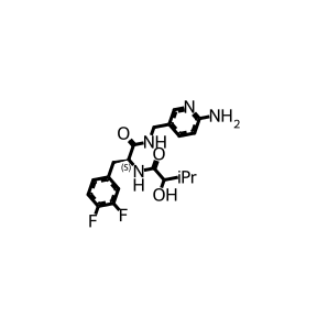 CC(C)C(O)C(=O)N[C@@H](Cc1ccc(F)c(F)c1)C(=O)NCc1ccc(N)nc1